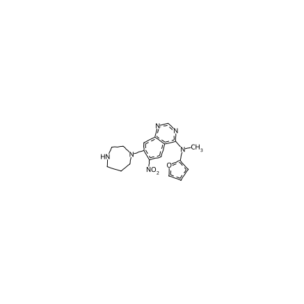 CN(c1ccco1)c1ncnc2cc(N3CCCNCC3)c([N+](=O)[O-])cc12